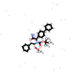 COC[C@H](Cc1ccccc1)N(C(=O)OC(C)(C)C)C(C(N)=O)c1ccc(-c2ccccc2)cc1